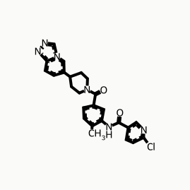 Cc1ccc(C(=O)N2CCC(c3ccc4nncn4c3)CC2)cc1NC(=O)c1ccc(Cl)nc1